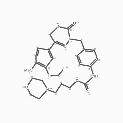 COc1ccc(C2=NN(Cc3ccc(NC(=O)OCCCN4CCOCC4)cc3)C(=O)SC2)cc1OCF